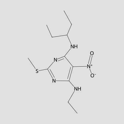 CCNc1nc(SC)nc(NC(CC)CC)c1[N+](=O)[O-]